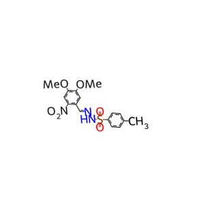 COc1cc(/C=N/NS(=O)(=O)c2ccc(C)cc2)c([N+](=O)[O-])cc1OC